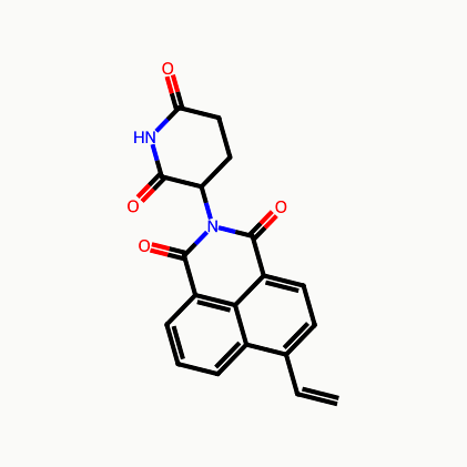 C=Cc1ccc2c3c(cccc13)C(=O)N(C1CCC(=O)NC1=O)C2=O